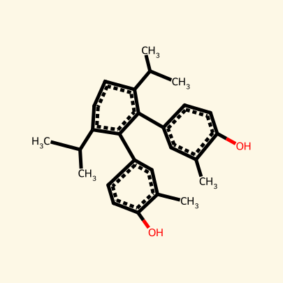 Cc1cc(-c2c(C(C)C)ccc(C(C)C)c2-c2ccc(O)c(C)c2)ccc1O